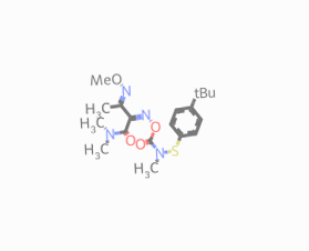 CON=C(C)C(=NOC(=O)N(C)Sc1ccc(C(C)(C)C)cc1)C(=O)N(C)C